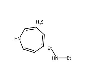 C1=CC=CNC=C1.CCNCC.S